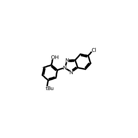 CC(C)(C)c1c[c]c(O)c(-n2nc3ccc(Cl)cc3n2)c1